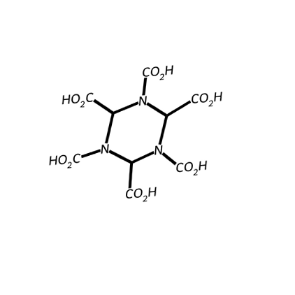 O=C(O)C1N(C(=O)O)C(C(=O)O)N(C(=O)O)C(C(=O)O)N1C(=O)O